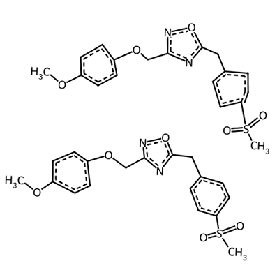 COc1ccc(OCc2noc(Cc3ccc(S(C)(=O)=O)cc3)n2)cc1.COc1ccc(OCc2noc(Cc3ccc(S(C)(=O)=O)cc3)n2)cc1